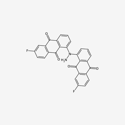 NN(c1cccc2c1C(=O)c1ccc(F)cc1C2=O)c1cccc2c1C(=O)c1cc(F)ccc1C2=O